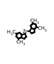 Cc1cc(C)c2c(c1)[CH]([Zr][CH]1C=Cc3c(C)cc(C)cc31)C=C2